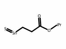 CC(C)OC(=O)C[CH2][Sn]=[S]